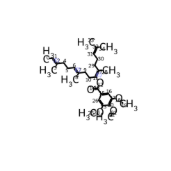 C/C=C(\C)CC/C=C(\C)CC/C(OC(=O)c1cc(OC)c(OC)c(OC)c1)=C(/C)CCC=C(C)C